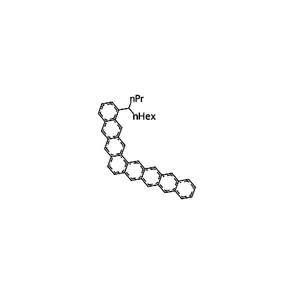 [CH2]CCC(CCCCCC)c1cccc2cc3cc4ccc5cc6cc7cc8ccccc8cc7cc6cc5c4cc3cc12